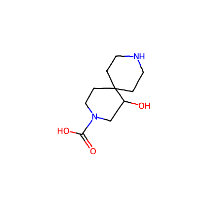 O=C(O)N1CCC2(CCNCC2)C(O)C1